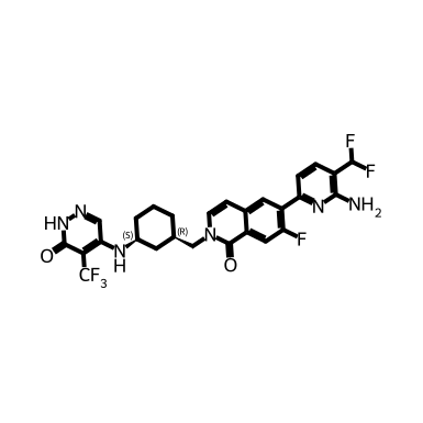 Nc1nc(-c2cc3ccn(C[C@@H]4CCC[C@H](Nc5cn[nH]c(=O)c5C(F)(F)F)C4)c(=O)c3cc2F)ccc1C(F)F